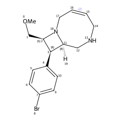 COC[C@@H]1[C@H](c2ccc(Br)cc2)[C@@H]2CNC/C=C\CN12